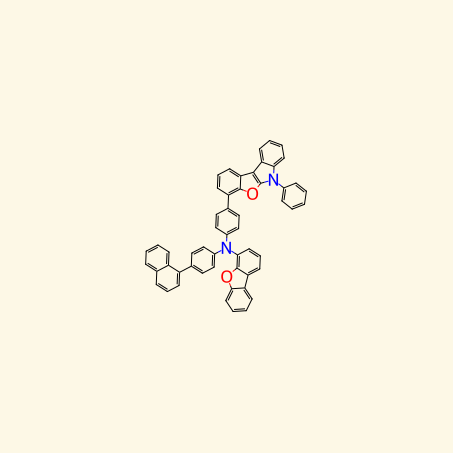 c1ccc(-n2c3ccccc3c3c4cccc(-c5ccc(N(c6ccc(-c7cccc8ccccc78)cc6)c6cccc7c6oc6ccccc67)cc5)c4oc32)cc1